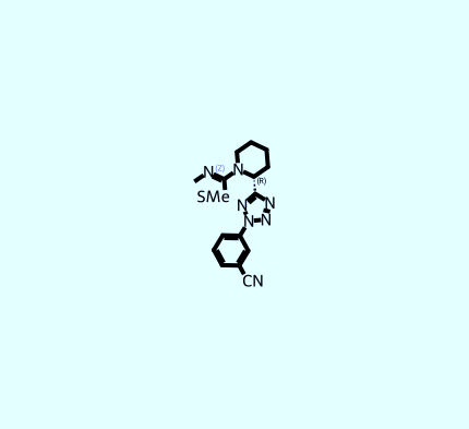 C/N=C(\SC)N1CCCC[C@@H]1c1nnn(-c2cccc(C#N)c2)n1